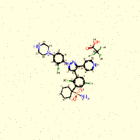 NS(=O)(=O)C1(c2cc(F)cc(-c3cn(-c4ccc(N5CCNCC5)cc4F)nc3-c3ccncc3)c2F)CCCCC1.O=C(O)C(F)(F)F